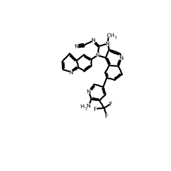 Cn1/c(=N/C#N)n(-c2ccc3ncccc3c2)c2c3cc(-c4cnc(N)c(C(F)(F)F)c4)ccc3ncc21